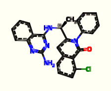 C[C@H](Nc1nc(N)nc2ccccc12)c1cc2cccc(Cl)c2c(=O)n1-c1ccccc1